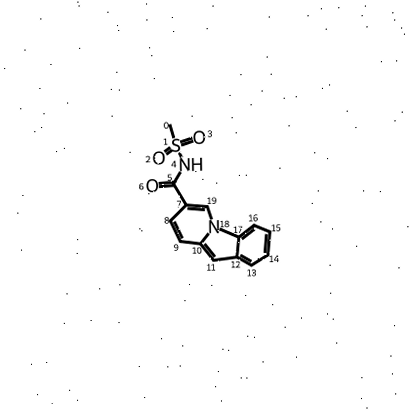 CS(=O)(=O)NC(=O)c1ccc2cc3ccccc3n2c1